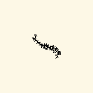 CCC[C@H]1O[C@@H]1OC(=O)Oc1ccc(-c2cnc(OCCCCCC[C@@H](C)CC)nc2)cc1